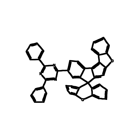 c1ccc(-c2nc(-c3ccccc3)nc(-c3ccc4c(c3)C3(c5ccccc5Oc5ccccc53)c3ccc5oc6ccccc6c5c3-4)n2)cc1